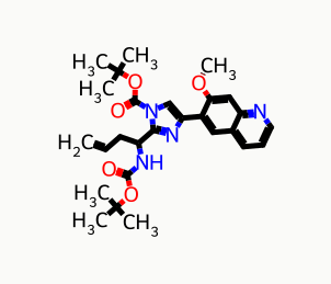 C=CCC(NC(=O)OC(C)(C)C)c1nc(-c2cc3cccnc3cc2OC)cn1C(=O)OC(C)(C)C